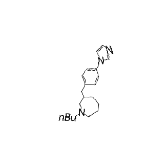 CCCCN1CCCCC(Cc2ccc(-n3ccnc3)cc2)C1